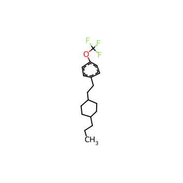 CCCC1CCC(CCc2ccc(OC(F)(F)F)cc2)CC1